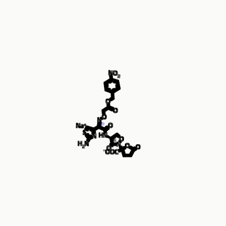 Nc1nc(/C(=N/OCC(=O)OCc2ccc([N+](=O)[O-])cc2)C(=O)N[C@H]2CON(C3(C(=O)[O-])CCC(=O)O3)C2=O)cs1.[Na+]